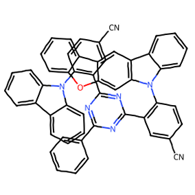 N#Cc1ccc(-n2c3ccccc3c3ccccc32)c(-c2nc(-c3ccccc3)nc(-c3cc(C#N)ccc3-n3c4ccccc4c4cc5c(cc43)oc3ccccc35)n2)c1